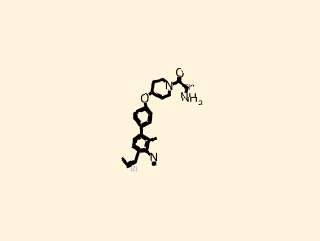 C=Nc1c(/C=C\C)ccc(-c2ccc(OC3CCN(C(=O)[C@H](C)N)CC3)cc2)c1C